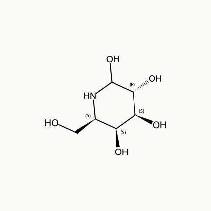 OC[C@H]1NC(O)[C@H](O)[C@@H](O)[C@H]1O